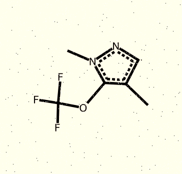 Cc1[c]nn(C)c1OC(F)(F)F